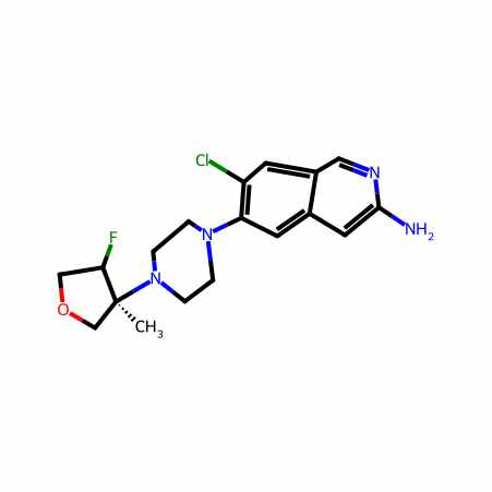 C[C@]1(N2CCN(c3cc4cc(N)ncc4cc3Cl)CC2)COCC1F